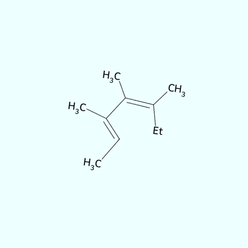 CC=C(C)C(C)=C(C)CC